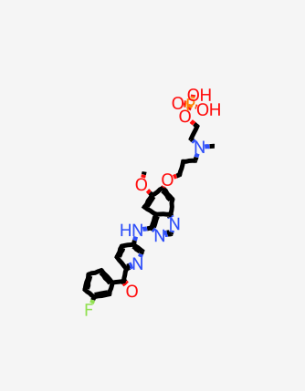 COc1cc2c(Nc3ccc(C(=O)c4cccc(F)c4)nc3)ncnc2cc1OCCCN(C)CCOP(=O)(O)O